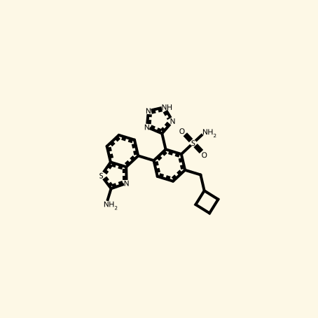 Nc1nc2c(-c3ccc(CC4CCC4)c(S(N)(=O)=O)c3-c3nn[nH]n3)cccc2s1